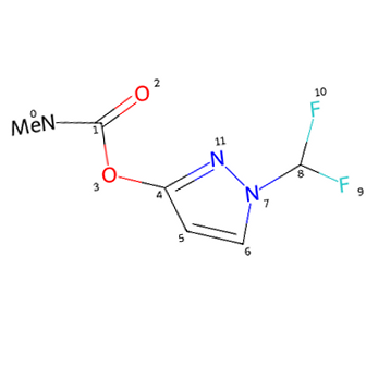 CNC(=O)Oc1ccn(C(F)F)n1